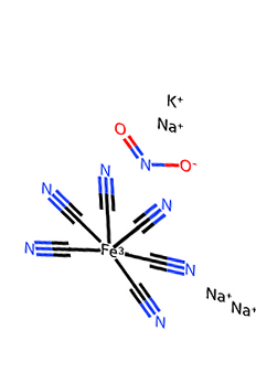 N#[C][Fe-3]([C]#N)([C]#N)([C]#N)([C]#N)[C]#N.O=N[O-].[K+].[Na+].[Na+].[Na+]